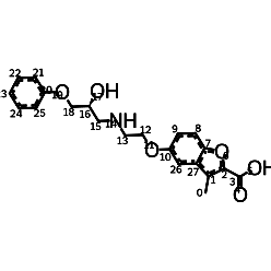 Cc1c(C(=O)O)oc2ccc(OCCNC[C@H](O)COc3ccccc3)cc12